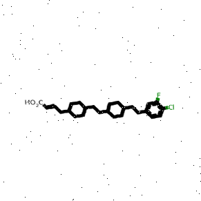 O=C(O)C=CCC1CCC(CCC2CCC(CCc3ccc(Cl)c(F)c3)CC2)CC1